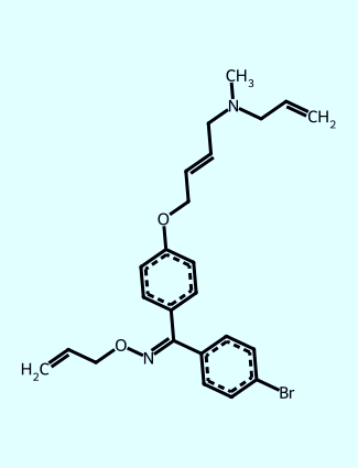 C=CCON=C(c1ccc(Br)cc1)c1ccc(OCC=CCN(C)CC=C)cc1